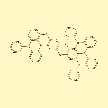 c1ccc(N2c3ccccc3B3c4cc5c(cc4Oc4cccc2c43)B2c3ccccc3N3c4ccccc4B4c6ccccc6N(c6ccccc6)c6cc(c2c3c64)O5)cc1